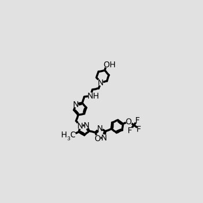 Cc1cc(-c2nc(-c3ccc(OC(F)(F)F)cc3)no2)nn1Cc1ccc(CNCCN2CCC(O)CC2)nc1